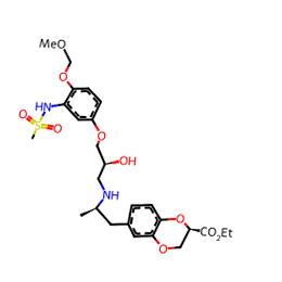 CCOC(=O)[C@H]1COc2cc(C[C@@H](C)NC[C@H](O)COc3ccc(OCOC)c(NS(C)(=O)=O)c3)ccc2O1